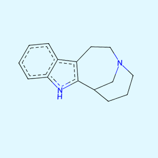 c1ccc2c3c([nH]c2c1)C1CCCN(CC3)C1